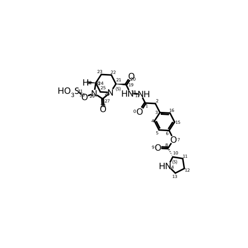 O=C(Cc1ccc(OC(=O)[C@@H]2CCCN2)cc1)NNC(=O)[C@@H]1CC[C@@H]2CN1C(=O)N2OS(=O)(=O)O